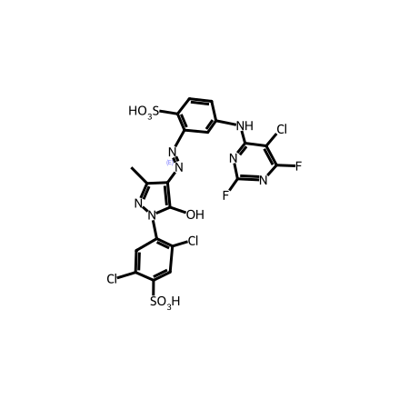 Cc1nn(-c2cc(Cl)c(S(=O)(=O)O)cc2Cl)c(O)c1/N=N/c1cc(Nc2nc(F)nc(F)c2Cl)ccc1S(=O)(=O)O